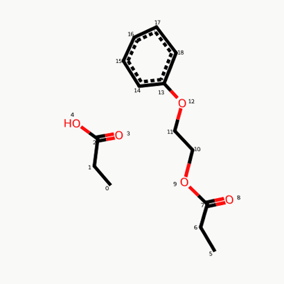 CCC(=O)O.CCC(=O)OCCOc1ccccc1